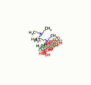 CCCCN(CCCC)CCCC.CCCCN(CCCC)CCCC.O=C(Cl)C(O)(Cl)C(O)(Cl)C(O)(Cl)C(O)(Cl)C(O)(Cl)C(O)(Cl)C(O)(Cl)C(Cl)(OB(O)O)C(=O)Cl